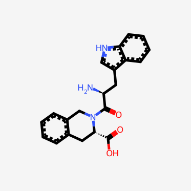 N[C@@H](Cc1c[nH]c2ccccc12)C(=O)N1Cc2ccccc2C[C@H]1C(=O)O